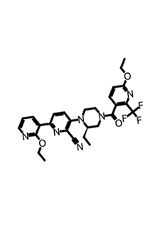 CCOc1ccc(C(=O)N2CCN(c3ccc(-c4cccnc4OCC)nc3C#N)[C@H](CC)C2)c(C(F)(F)F)n1